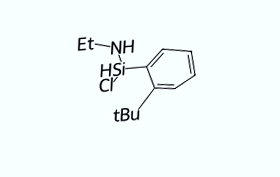 CCN[SiH](Cl)c1ccccc1C(C)(C)C